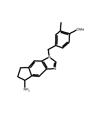 COc1ccc(Cn2cnc3cc4c(cc32)CCC4N)cc1C